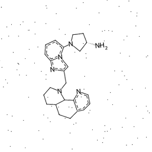 N[C@H]1CCN(c2cccc3nc(CN4CCCC5CCc6cccnc6C54)cn23)C1